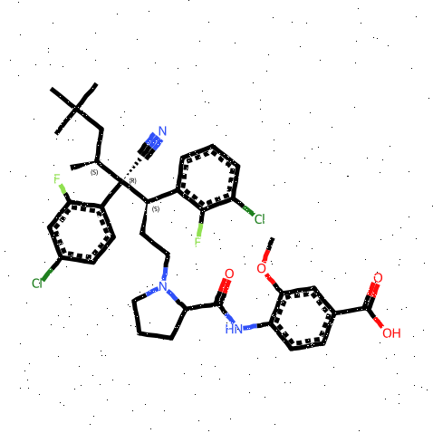 COc1cc(C(=O)O)ccc1NC(=O)C1CCCN1CC[C@H](c1cccc(Cl)c1F)[C@@](C#N)(c1ccc(Cl)cc1F)[C@@H](C)CC(C)(C)C